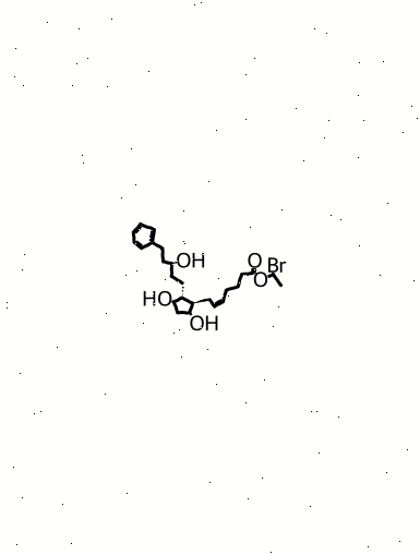 CC(Br)OC(=O)CCC/C=C\C[C@@H]1[C@@H](CC[C@@H](O)CCc2ccccc2)[C@H](O)C[C@@H]1O